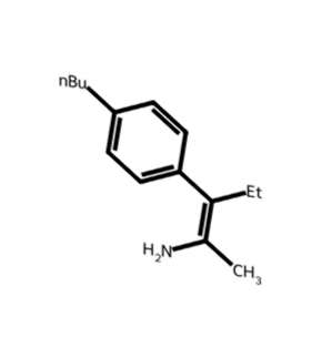 CCCCc1ccc(/C(CC)=C(/C)N)cc1